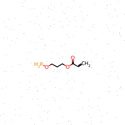 C=CC(=O)OCCCOP